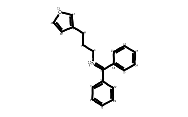 c1ccc(C(=[15N]CCCc2ccoc2)c2ccccc2)cc1